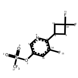 O=S(=O)(Oc1cnc(C2CC(F)(F)C2)c(F)c1)C(F)(F)F